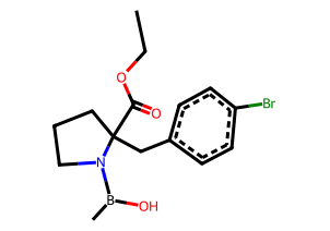 CCOC(=O)C1(Cc2ccc(Br)cc2)CCCN1B(C)O